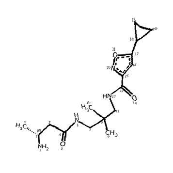 C[C@@H](N)CC(=O)NCC(C)(C)CNC(=O)c1cc(C2CC2)on1